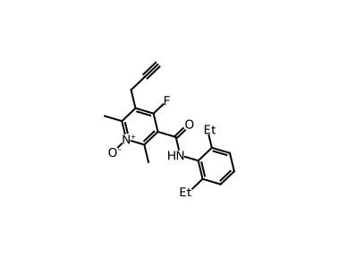 C#CCc1c(F)c(C(=O)Nc2c(CC)cccc2CC)c(C)[n+]([O-])c1C